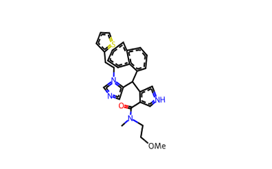 COCCN(C)C(=O)c1c[nH]cc1C(c1cccc2ccccc12)c1cncn1CCc1cccs1